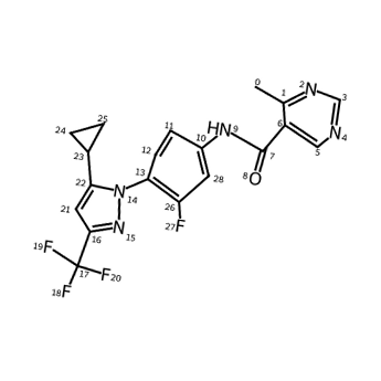 Cc1ncncc1C(=O)Nc1ccc(-n2nc(C(F)(F)F)cc2C2CC2)c(F)c1